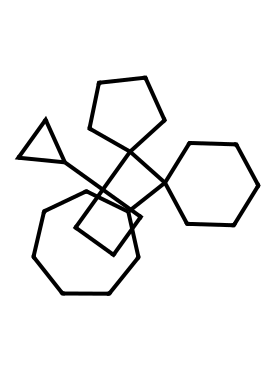 C1CCCC(C2(C3(C4(C5CC5)CCC4)CCCC3)CCCCC2)CC1